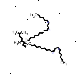 CCCCC/C=C\C/C=C\CCCCCCCCON1CCC1(OCCCCCCCC/C=C\C/C=C\CCCCC)C(N)CCC(C)C